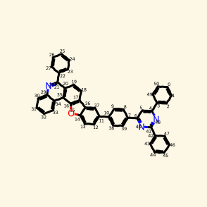 c1ccc(-c2cc(-c3ccc(-c4ccc5oc6c(ccc7c(-c8ccccc8)nc8ccccc8c76)c5c4)cc3)nc(-c3ccccc3)n2)cc1